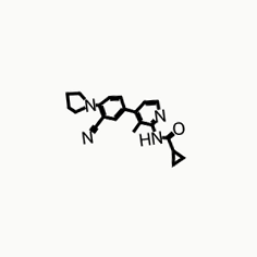 Cc1c(-c2ccc(N3CCCC3)c(C#N)c2)ccnc1NC(=O)C1CC1